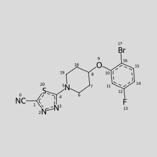 N#Cc1nnc(N2CCC(Oc3cc(F)ccc3Br)CC2)s1